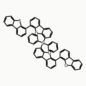 c1ccc([Si](c2ccccc2)(c2cccc3c2oc2c(-c4cccc5c4oc4ccccc45)cccc23)c2cccc3c2oc2c(-c4cccc5c4sc4ccccc45)cccc23)cc1